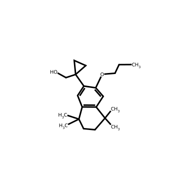 CCCOc1cc2c(cc1C1(CO)CC1)C(C)(C)CCC2(C)C